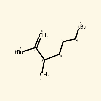 C=C(C(C)CCCC(C)(C)C)C(C)(C)C